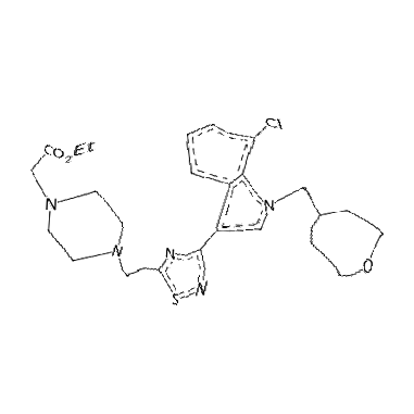 CCOC(=O)CN1CCN(Cc2nc(-c3cn(CC4CCOCC4)c4c(Cl)cccc34)ns2)CC1